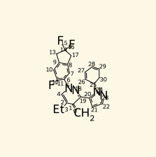 C=C1C(CC)=CN(c2cc3c(cc2F)CC(F)(F)C3)N=C1c1ccnn1C1C=CC=CC1